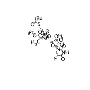 CC(C)OC(=O)[C@@H](C)N[P@@](=O)(OCCSC(=O)C(C)(C)C)OC[C@H]1O[C@@H](n2cc(F)c(=O)[nH]c2=O)C(Cl)(Cl)[C@@H]1O